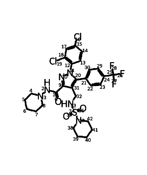 O=C(NN1CCCCC1)c1nn(-c2ccc(Cl)cc2Cl)c(-c2ccc(C(F)(F)F)cc2)c1CNS(=O)(=O)N1CCCCC1